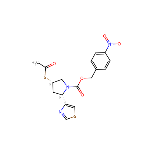 CC(=O)S[C@H]1C[C@@H](c2cscn2)N(C(=O)OCc2ccc([N+](=O)[O-])cc2)C1